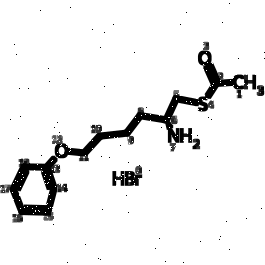 Br.CC(=O)SC[C@@H](N)CCCCOc1ccccc1